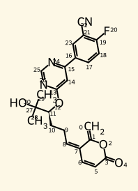 C=c1oc(=O)cc/c1=C/CC[C@H](Oc1cc(-c2ccc(F)c(C#N)c2)ncn1)C(C)(C)O